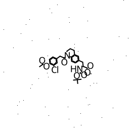 COC(=O)C(Cc1ccc2c(c1)CCCN2C(=O)Cc1ccc(OC(C)=O)c(Cl)c1)NC(=O)OC(C)(C)C